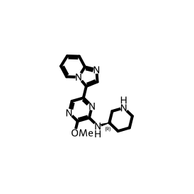 COc1ncc(-c2cnc3ccccn23)nc1N[C@@H]1CCCNC1